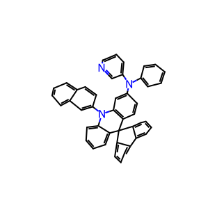 c1ccc(N(c2cccnc2)c2ccc3c(c2)N(c2ccc4ccccc4c2)c2ccccc2C32c3ccccc3-c3ccccc32)cc1